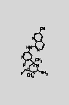 C[C@]1(CF)C[C@@](C)(c2cc(Nc3nccc4cc(C#N)cnc34)cnc2F)N=C(N)S1